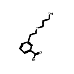 CCC(=O)c1cccc(CCOCCCO)c1